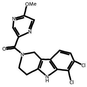 COc1cnc(C(=O)N2CCc3[nH]c4c(Cl)c(Cl)ccc4c3C2)cn1